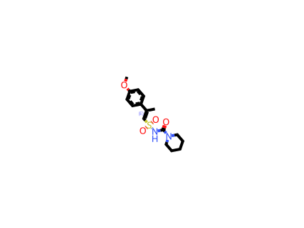 COc1ccc(/C(C)=C/S(=O)(=O)NC(=O)N2CCCCC2)cc1